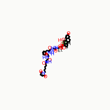 CCC(=O)O[C@]1(C(=O)COCNC(=O)CNC(=O)[C@H](Cc2ccccc2)NC(=O)CNC(=O)CNC(=O)CCCCCN2C(=O)C=CC2=O)[C@@H](C)CC2[C@@H]3CCC4=CC(=O)C=C[C@]4(C)[C@@]3(Cl)[C@@H](O)C[C@@]21C